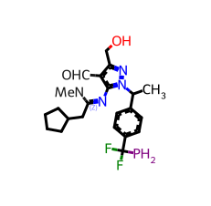 CN/C(CC1CCCC1)=N\c1c(C=O)c(CO)nn1C(C)c1ccc(C(F)(F)P)cc1